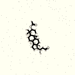 CC(=O)O[C@H]1CC[C@]23C[C@]24CC[C@]2(C)[C@@H]([C@H](C)CC=O)CC[C@@]2(C)C4CCC3C1(C)C